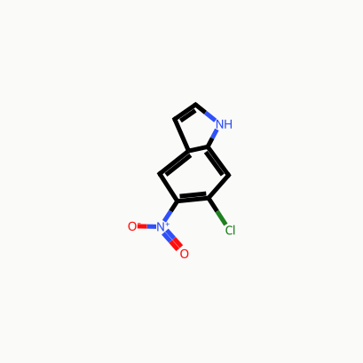 O=[N+]([O-])c1cc2cc[nH]c2cc1Cl